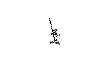 CCCCCCCCCCCC(=O)NC(CCCNC(=N)N)C(=O)O.Cl